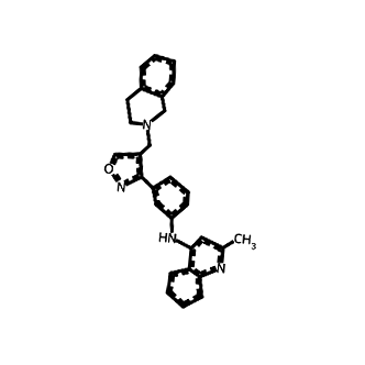 Cc1cc(Nc2cccc(-c3nocc3CN3CCc4ccccc4C3)c2)c2ccccc2n1